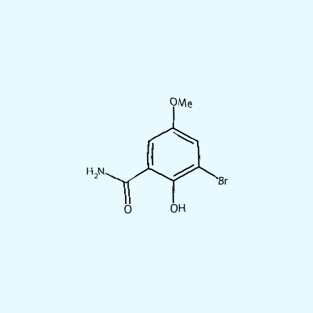 COc1cc(Br)c(O)c(C(N)=O)c1